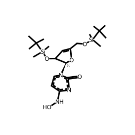 CC(C)(C)[Si](C)(C)OCC1=CC(O[Si](C)(C)C(C)(C)C)[C@H](n2ccc(NO)nc2=O)O1